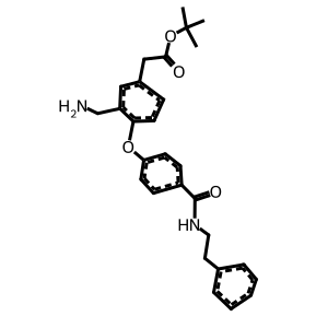 CC(C)(C)OC(=O)Cc1ccc(Oc2ccc(C(=O)NCCc3ccccc3)cc2)c(CN)c1